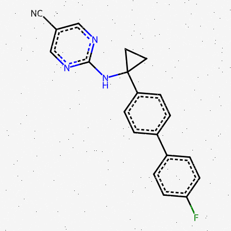 N#Cc1cnc(NC2(c3ccc(-c4ccc(F)cc4)cc3)CC2)nc1